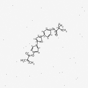 C=C(C)C(=O)Oc1ccc(-c2ccc(-c3ccc(OC(=O)C(=C)C)cc3)s2)cc1